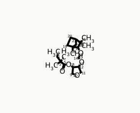 CCC(C)(C)C(=O)OC1COCC1OCOC1C2(C)CCC(C2)C1(C)C